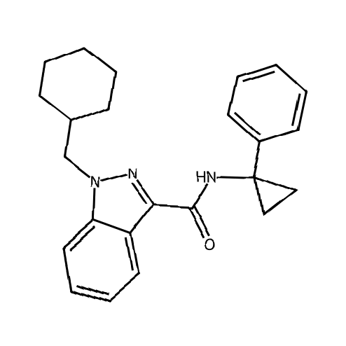 O=C(NC1(c2ccccc2)CC1)c1nn(CC2CCCCC2)c2ccccc12